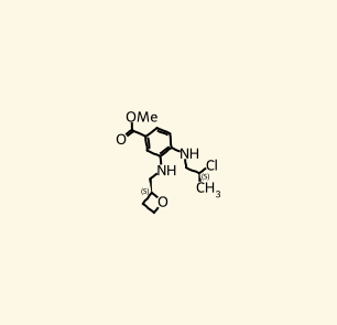 COC(=O)c1ccc(NC[C@H](C)Cl)c(NC[C@@H]2CCO2)c1